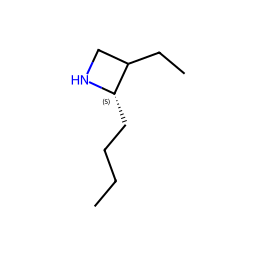 CCCC[C@@H]1NCC1CC